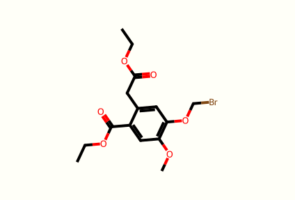 CCOC(=O)Cc1cc(OCBr)c(OC)cc1C(=O)OCC